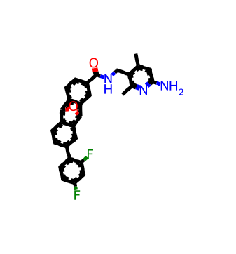 Cc1cc(N)nc(C)c1CNC(=O)c1ccc2c(c1)c1oc2c2ccc(-c3ccc(F)cc3F)cc21